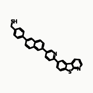 SCc1ccc(-c2ccc3cc(-c4ccc(-c5ccc6sc7ncccc7c6c5)nc4)ccc3c2)cc1